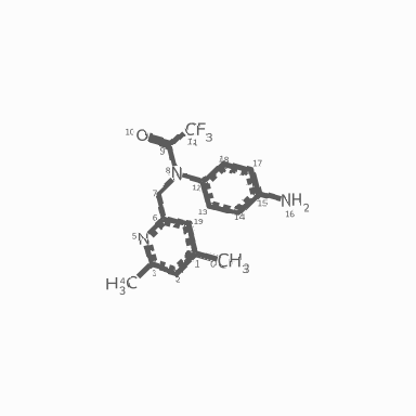 Cc1cc(C)nc(CN(C(=O)C(F)(F)F)c2ccc(N)cc2)c1